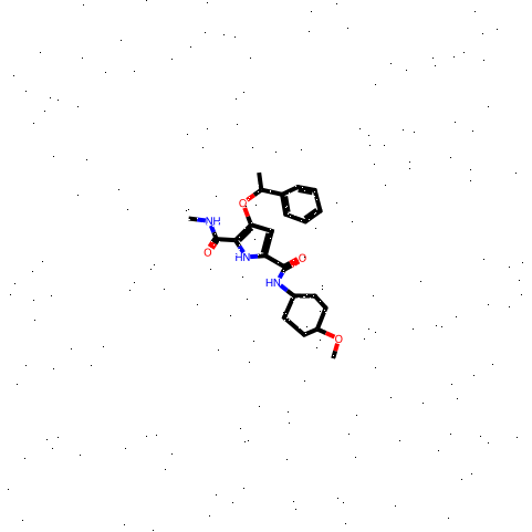 CNC(=O)c1[nH]c(C(=O)NC2CCC(OC)CC2)cc1OC(C)c1ccccc1